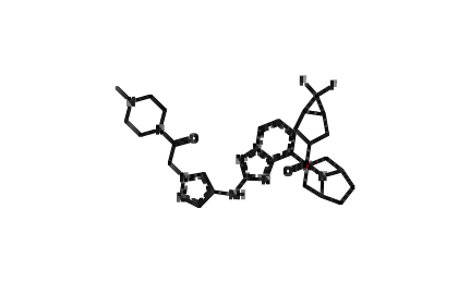 CN1CCN(C(=O)Cn2cc(Nc3nc4c(N5CC6CCC(C5)N6C(=O)C5CC6C(C5)C6(F)F)cccn4n3)cn2)CC1